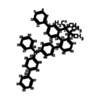 CC1(C)c2cc(-c3ccccc3)ccc2-c2c(-c3ccc(N(c4ccccc4)c4ccc(-c5ccccc5)cc4)cc3)cccc2C1(C)C